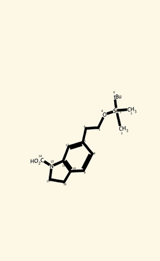 CC(C)(C)[Si](C)(C)OCCc1ccc2c(c1)N(C(=O)O)CC2